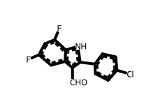 O=Cc1c(-c2ccc(Cl)cc2)[nH]c2c(F)cc(F)cc12